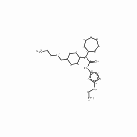 COCCOCC1CCC(N(C(=O)Nc2ncc(SCC(=O)O)s2)C2CCCCCC2)CC1